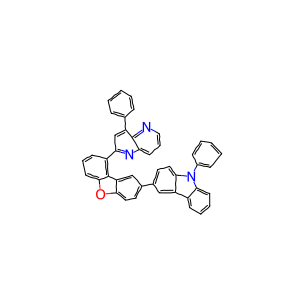 c1ccc(-c2cc(-c3cccc4oc5ccc(-c6ccc7c(c6)c6ccccc6n7-c6ccccc6)cc5c34)nc3cccnc23)cc1